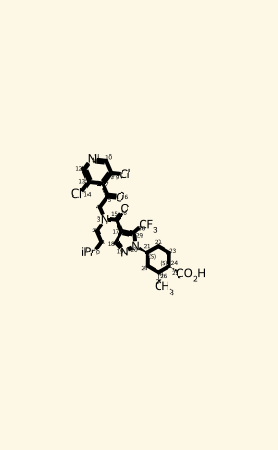 CC(C)CCN(CC(=O)c1c(Cl)cncc1Cl)C(=O)c1cnn([C@H]2CC[C@H](C(=O)O)[C@H](C)C2)c1C(F)(F)F